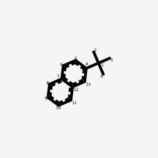 CC(C)(C)c1ccc2c[c]ccc2c1